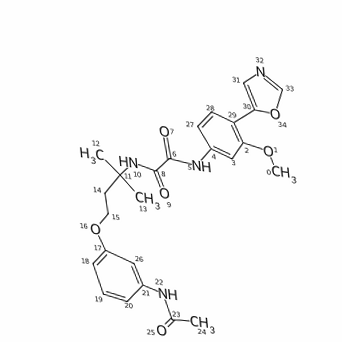 COc1cc(NC(=O)C(=O)NC(C)(C)CCOc2cccc(NC(C)=O)c2)ccc1-c1cnco1